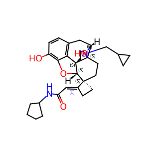 O=C(/C=C1\CC[C@]12CC[C@@]1(O)[C@H]3Cc4ccc(O)c5c4[C@@]1(CCN3CC1CC1)[C@H]2O5)NC1CCCC1